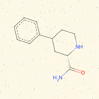 NC(=O)[C@@H]1CC(c2ccccc2)CCN1